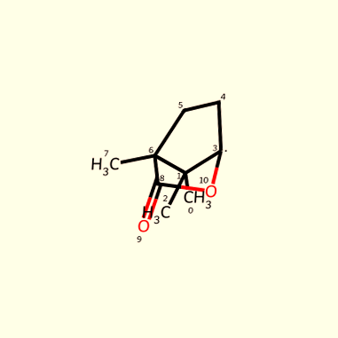 CC1(C)[C]2CCC1(C)C(=O)O2